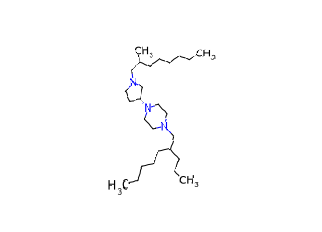 CCCCCCC(C)CN1CC[C@@H](N2CCN(CC(CCC)CCCCC)CC2)C1